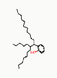 CCCCCCCCCCCC(c1ccccc1O)C(CCCCC)CCCCCCC